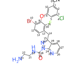 N#Cc1cc(Cl)cc(Oc2c(Br)ccc(Cc3nn(C(=O)NCCN)c4ncccc34)c2F)c1